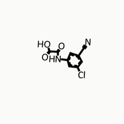 N#Cc1cc(Cl)cc(NC(=O)C(=O)O)c1